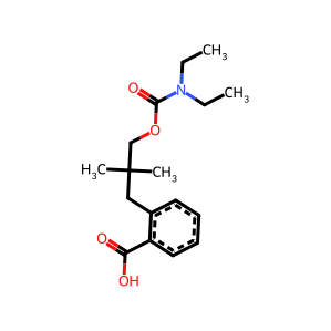 CCN(CC)C(=O)OCC(C)(C)Cc1ccccc1C(=O)O